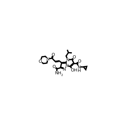 CC(C)Cn1c(=O)c(C(=O)NC2CC2)c(O)n2nc(C(N)=O)c(C=CC(=O)N3CCOCC3)c12